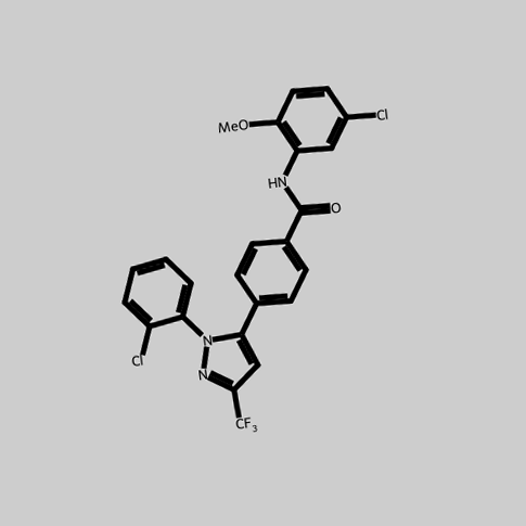 COc1ccc(Cl)cc1NC(=O)c1ccc(-c2cc(C(F)(F)F)nn2-c2ccccc2Cl)cc1